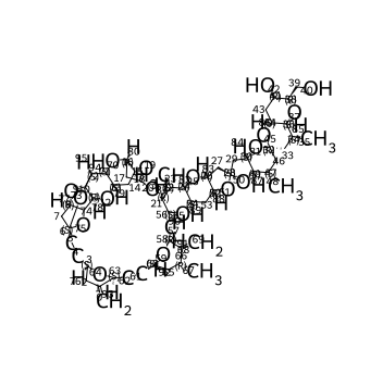 C=C1C[C@@H]2CC[C@@]34C[C@H]5OC6[C@@H](O[C@H]7CC[C@H](CC(=O)O[C@@H]8[C@@H](C)[C@@H]9O[C@@H]%10C[C@]%11(C[C@@H]%12O[C@]%13(C[C@H](C)[C@@H]%14O[C@H](CO)[C@H](O)C[C@@H]%14O%13)C[C@H](C)[C@@H]%12O%11)O[C@@H]%10C[C@@H]9O[C@H]8C[C@H]8O[C@@H](CC[C@@H]1O2)C[C@@H](C)C8=C)O[C@@H]7[C@@H]6O3)C5O4